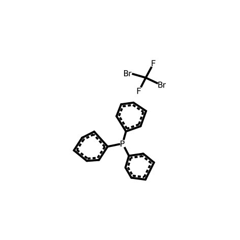 FC(F)(Br)Br.c1ccc(P(c2ccccc2)c2ccccc2)cc1